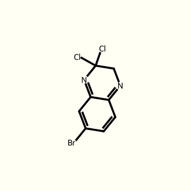 ClC1(Cl)CN=c2ccc(Br)cc2=N1